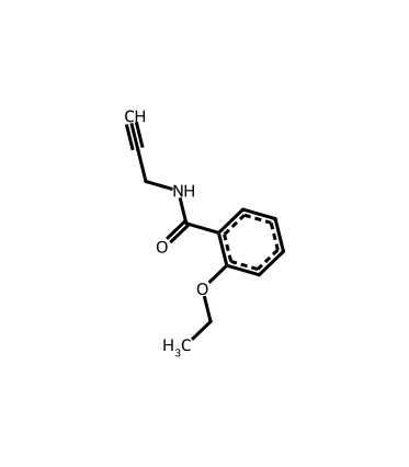 C#CCNC(=O)c1ccccc1OCC